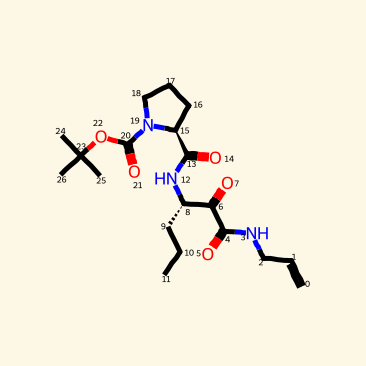 C=CCNC(=O)C(=O)[C@H](CCC)NC(=O)[C@@H]1CCCN1C(=O)OC(C)(C)C